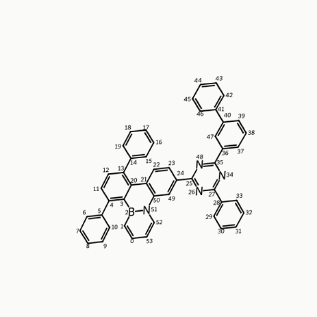 C1=CB2c3c(-c4ccccc4)ccc(-c4ccccc4)c3-c3ccc(-c4nc(-c5ccccc5)nc(-c5cccc(-c6ccccc6)c5)n4)cc3N2C=C1